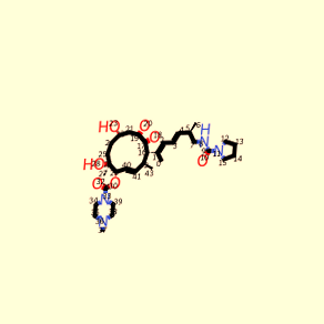 C/C(=C\C=C\[C@@H](C)CNC(=O)N1CCCC1)[C@H]1C(=O)C(=O)C[C@@H](O)CC[C@](C)(O)[C@@H](OC(=O)N2CCN(C)CC2)/C=C/[C@@H]1C